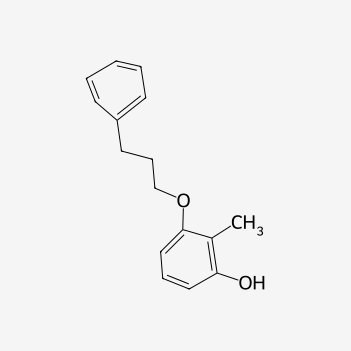 Cc1c(O)cccc1OCCCc1ccccc1